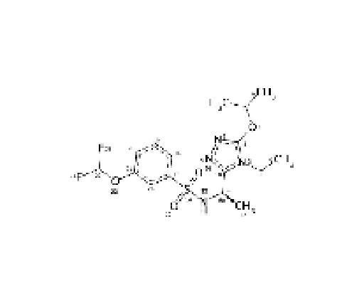 CCn1c(OC(C)C)nnc1[C@@H](C)NS(=O)(=O)c1cccc(OC(F)F)c1